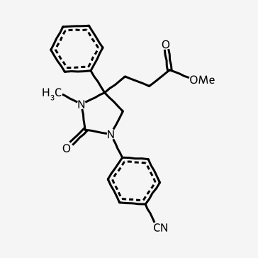 COC(=O)CCC1(c2ccccc2)CN(c2ccc(C#N)cc2)C(=O)N1C